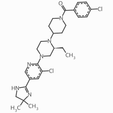 CC[C@H]1CN(c2ncc(C3=NC(C)(C)CN3)cc2Cl)CCN1C1CCN(C(=O)c2ccc(Cl)cc2)CC1